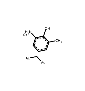 CC(=O)CC(C)=O.Cc1cccc(N)c1O.[Zn]